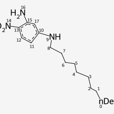 CCCCCCCCCCCCCCCCCCNc1ccc([N+](=O)[O-])c(N)c1